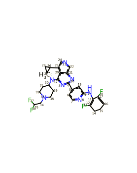 CN(c1nc(-c2ccnc(NC3=C(F)CCC=C3F)c2)nc2cncc(C3CC3)c12)C1CCN(CC(F)F)CC1